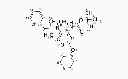 CN(C(=O)[C@H](CC(=O)OC1CCCCC1)NC(=O)OC(C)(C)C)C(C)(C)Cc1ccccc1